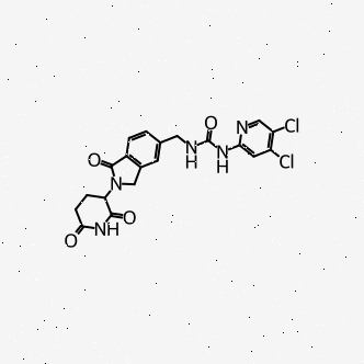 O=C1CCC(N2Cc3cc(CNC(=O)Nc4cc(Cl)c(Cl)cn4)ccc3C2=O)C(=O)N1